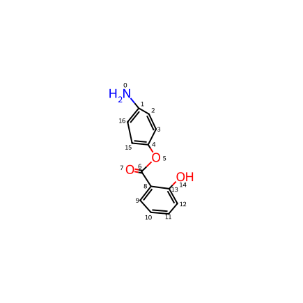 Nc1ccc(OC(=O)c2ccccc2O)cc1